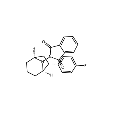 O=C1c2ccccc2C(=O)N1N1[C@H]2CCC[C@@H]1[C@@H](c1ccc(F)cc1)C2